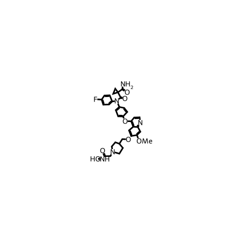 COc1cc2nccc(Oc3ccc(N(C(=O)C4(C(N)=O)CC4)c4ccc(F)cc4)cc3)c2cc1OCC1CCN(CC(=O)NO)CC1